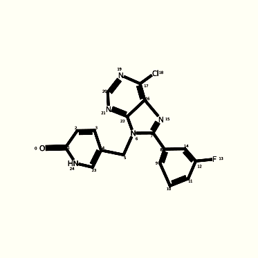 O=c1ccc(Cn2c(-c3cccc(F)c3)nc3c(Cl)ncnc32)c[nH]1